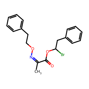 CC(=NOCCc1ccccc1)C(=O)OC(Br)Cc1ccccc1